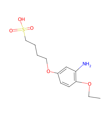 CCOc1ccc(OCCCCS(=O)(=O)O)cc1N